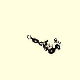 CC(C)[C@@H](NC(=O)c1cccc(-c2cccc([SH](C)(C)=O)c2)c1)C(=O)N1CCC(c2ccc(Cl)cc2)CC1